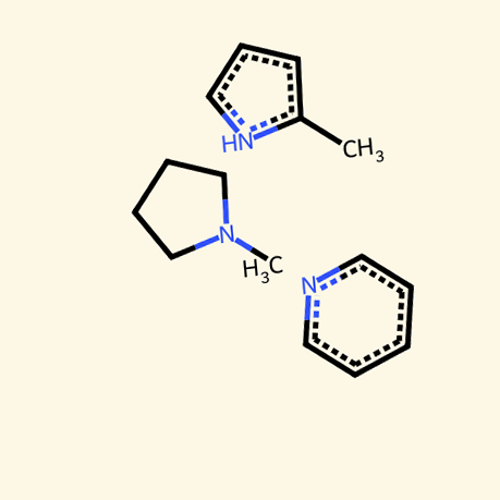 CN1CCCC1.Cc1ccc[nH]1.c1ccncc1